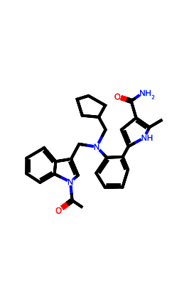 CC(=O)n1cc(CN(CC2CCCC2)c2ccccc2-c2cc(C(N)=O)c(C)[nH]2)c2ccccc21